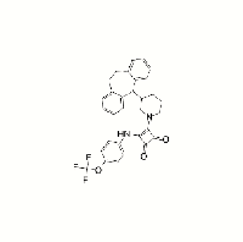 O=c1c(Nc2ccc(OC(F)(F)F)cc2)c(N2CCCC(C3c4ccccc4CCc4ccccc43)C2)c1=O